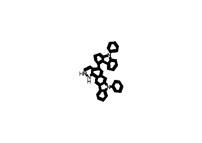 C1=Cc2c(-c3cccc4c3c3ccccc3n4-c3ccccc3)cc3cc4c(cc3c2NN1)c1ccccc1n4-c1ccccc1